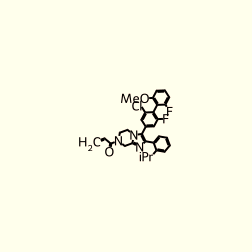 C=CC(=O)N1CCn2c(nc(-c3ccccc3C(C)C)c2-c2cc(F)c(-c3c(F)cccc3OC)c(Cl)c2)C1